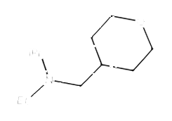 CCN(CC1CCOCC1)C(C)C